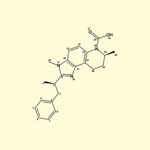 C[C@H](Cc1ccccc1)c1nc2c3c(ccc2n1C)N(C(=O)O)[C@@H](C)CC3